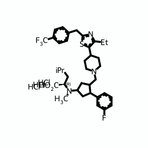 CCc1nc(Cc2ccc(C(F)(F)F)cc2)sc1C1CCN(CC2CC(N(C)[C@H](CC(C)C)C(=O)O)CC2c2cccc(F)c2)CC1.Cl.Cl.Cl